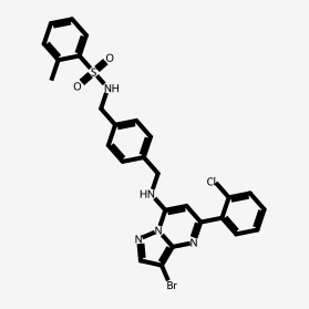 Cc1ccccc1S(=O)(=O)NCc1ccc(CNc2cc(-c3ccccc3Cl)nc3c(Br)cnn23)cc1